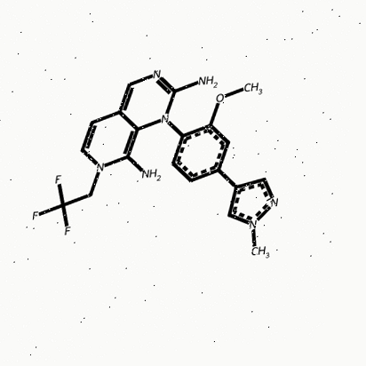 COc1cc(-c2cnn(C)c2)ccc1N1C(N)=NC=C2C=CN(CC(F)(F)F)C(N)=C21